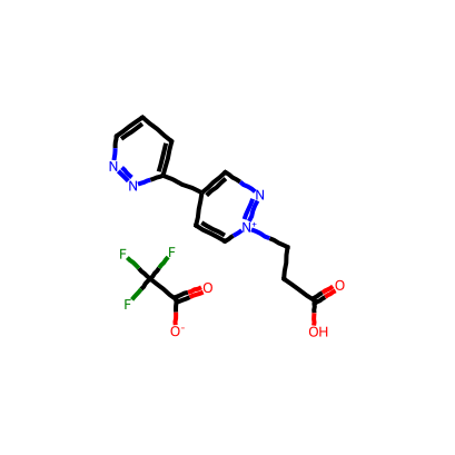 O=C(O)CC[n+]1ccc(-c2cccnn2)cn1.O=C([O-])C(F)(F)F